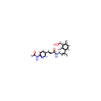 CC(=O)Nc1ccc(/C=C/C(=O)NC/C=C(/C)c2ccc(C)c(CO)c2C)cn1